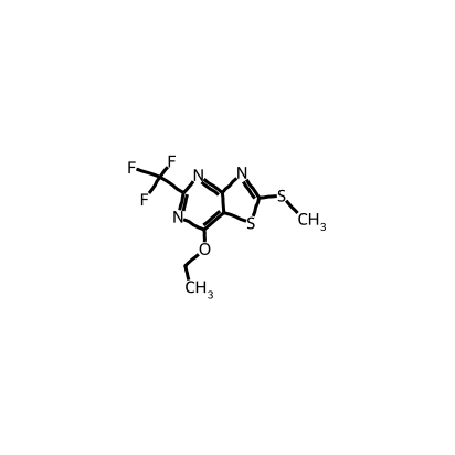 CCOc1nc(C(F)(F)F)nc2nc(SC)sc12